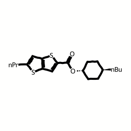 CCCC[C@H]1CC[C@H](OC(=O)c2cc3sc(CCC)cc3s2)CC1